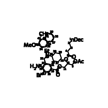 C.CCCCCCCCCCCCCC(=O)OC(COC(C)=O)COC(=O)c1cc(Br)c(N)c(CN(CC)C2CCCCC2)c1.COc1ccc2ccccc2c1